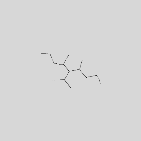 [CH2]C(C)C(C(C)CCC)C(C)CCC